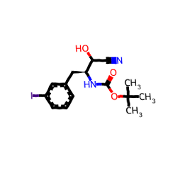 CC(C)(C)OC(=O)N[C@@H](Cc1cccc(I)c1)C(O)C#N